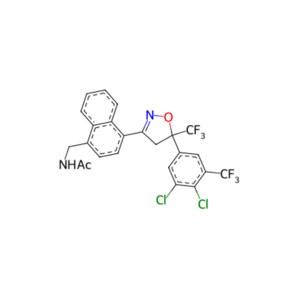 CC(=O)NCc1ccc(C2=NOC(c3cc(Cl)c(Cl)c(C(F)(F)F)c3)(C(F)(F)F)C2)c2ccccc12